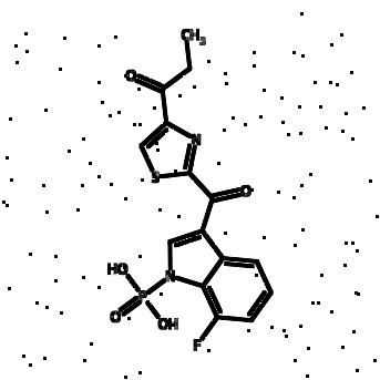 CCC(=O)c1csc(C(=O)c2cn(P(=O)(O)O)c3c(F)cccc23)n1